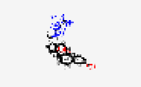 CC(NNC(=N)N)[C@H]1CC[C@@]2(O)[C@@H]3CCC4CC(O)CC[C@]4(C)[C@H]3CC[C@]12C